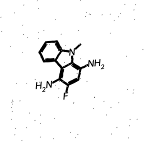 Cn1c2ccccc2c2c(N)c(F)cc(N)c21